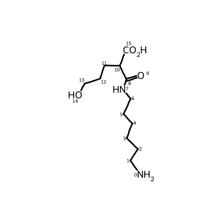 NCCCCCCNC(=O)C(CCCO)C(=O)O